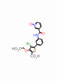 O=C(O)COc1c(C(=O)O)sc(-c2cccc(NC(=O)c3ccc[n+]([O-])c3)c2)c1Br